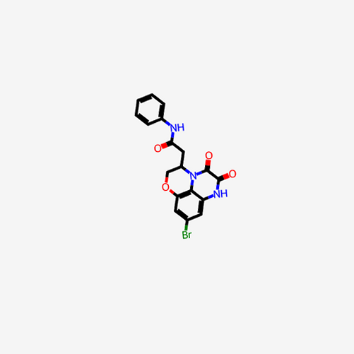 O=C(CC1COc2cc(Br)cc3[nH]c(=O)c(=O)n1c23)Nc1ccccc1